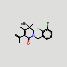 C=C(C)C1=C(C)C(C)(CCCC)CN(Cc2cccc(F)c2F)C1=O